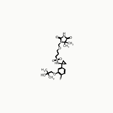 CC(C)(O)COc1cc(C2(NS(=O)(=O)CCCOCN3C(=O)NC(=O)C3(C)C)CC2)ccc1F